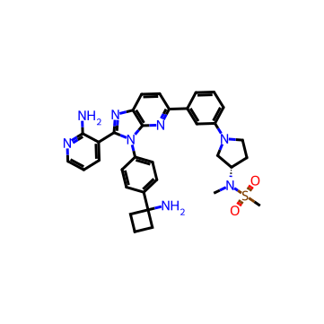 CN([C@H]1CCN(c2cccc(-c3ccc4nc(-c5cccnc5N)n(-c5ccc(C6(N)CCC6)cc5)c4n3)c2)C1)S(C)(=O)=O